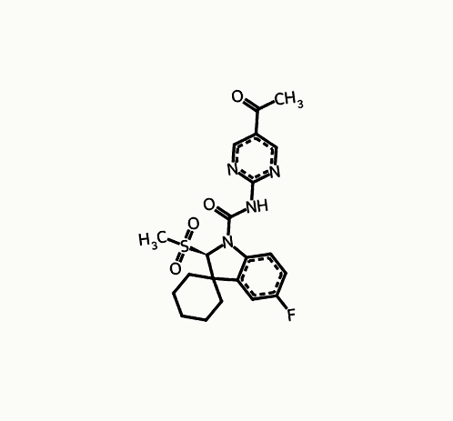 CC(=O)c1cnc(NC(=O)N2c3ccc(F)cc3C3(CCCCC3)[C@H]2S(C)(=O)=O)nc1